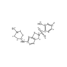 CCN1CCC(Nc2ccc3c(c2)CN(S(=O)(=O)c2ccc(C)cc2O)C3)CC1